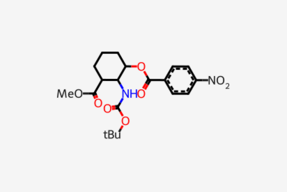 COC(=O)C1CCCC(OC(=O)c2ccc([N+](=O)[O-])cc2)C1NC(=O)OC(C)(C)C